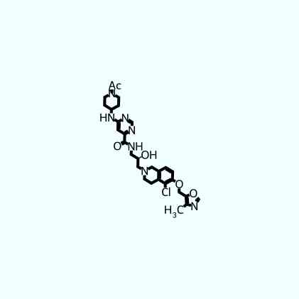 CC(=O)N1CCC(Nc2cc(C(=O)NC[C@H](O)CN3CCc4c(ccc(OCc5ocnc5C)c4Cl)C3)ncn2)CC1